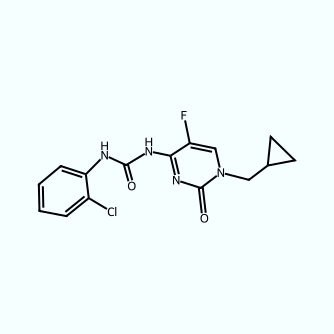 O=C(Nc1ccccc1Cl)Nc1nc(=O)n(CC2CC2)cc1F